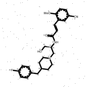 COc1ccc(C#N)cc1C=CC(=O)N[C@H](CO)CN1CCC(Cc2ccc(F)cc2)CC1